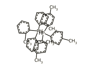 Cc1ccc([PH](c2ccc(C)cc2)(c2ccc(C)cc2)[PH](c2ccccc2C)(c2ccccc2C)c2ccccc2C)cc1